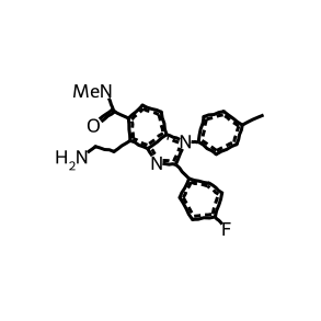 CNC(=O)c1ccc2c(nc(-c3ccc(F)cc3)n2-c2ccc(C)cc2)c1CCN